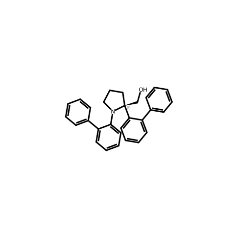 OC[C@]1(c2ccccc2-c2ccccc2)CCCN1c1ccccc1-c1ccccc1